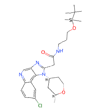 C[C@@H]1C[C@H](n2c(CC(=O)NCCCO[Si](C)(C)C(C)(C)C)nc3cnc4ccc(Cl)cc4c32)CCO1